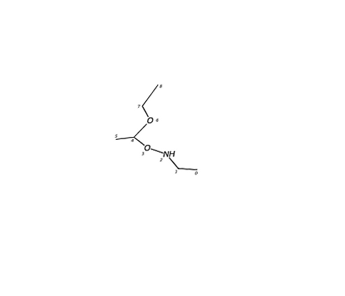 CCNOC(C)OCC